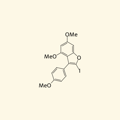 COc1ccc(-c2c(I)oc3cc(OC)cc(OC)c23)cc1